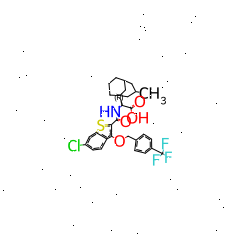 CC1CC2CCC[C@@](C(NC(=O)c3sc4cc(Cl)ccc4c3OCc3ccc(C(F)(F)F)cc3)C(=O)O)(C1)C2